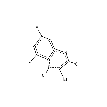 CCc1c(Cl)nc2cc(F)cc(F)c2c1Cl